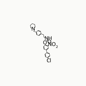 O=C(NCCc1ccc(CN2CCCCC2)cc1)Oc1ccc(-c2ccc(Cl)cc2)cc1[N+](=O)[O-]